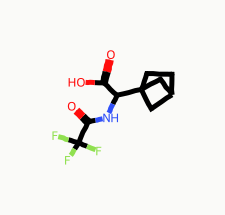 O=C(O)C(NC(=O)C(F)(F)F)C12CCC(C1)C2